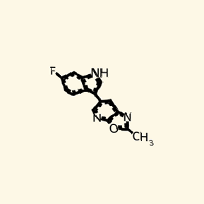 Cc1nc2cc(-c3c[nH]c4cc(F)ccc34)cnc2o1